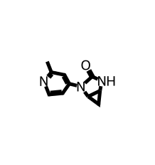 Cc1cc(N2C(=O)NC3CC32)ccn1